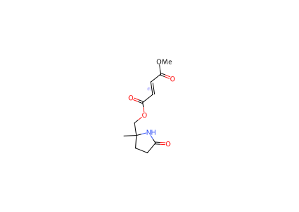 COC(=O)/C=C/C(=O)OCC1(C)CCC(=O)N1